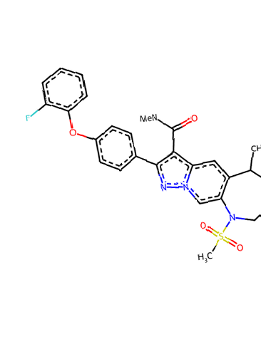 CNC(=O)c1c(-c2ccc(Oc3ccccc3F)cc2)nn2cc3c(cc12)C(C)CCCN3S(C)(=O)=O